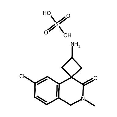 CN1Cc2ccc(Cl)cc2C2(CC(N)C2)C1=O.O=S(=O)(O)O